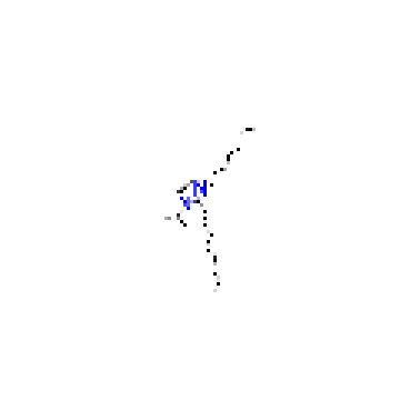 CCCCCCCCC1N(CCCCCCC)C=CN1C(C)C